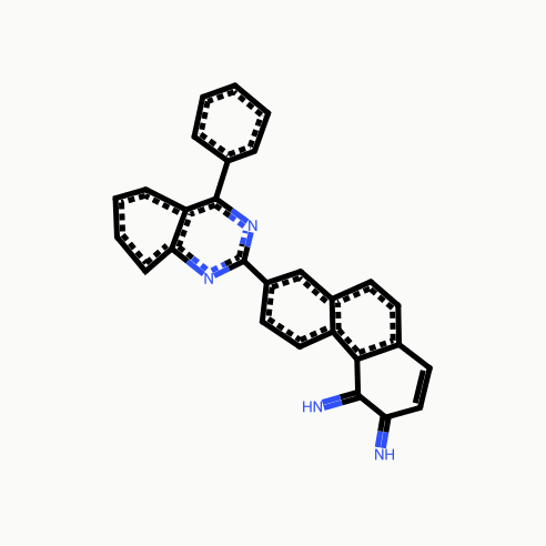 N=C1C=Cc2ccc3cc(-c4nc(-c5ccccc5)c5ccccc5n4)ccc3c2C1=N